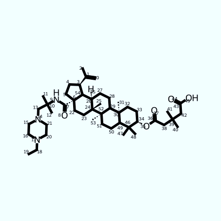 C=C(C)[C@@H]1CC[C@]2(C(=O)NC(C)(C)CN3CCN(CC)CC3)CC[C@]3(C)[C@H](CCC4[C@@]5(C)CC[C@H](OC(=O)CC(C)(C)CC(=O)O)C(C)(C)C5CC[C@]43C)C12